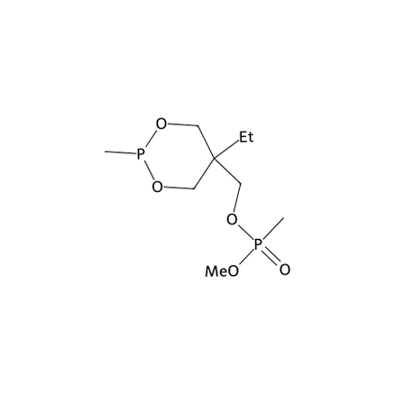 CCC1(COP(C)(=O)OC)COP(C)OC1